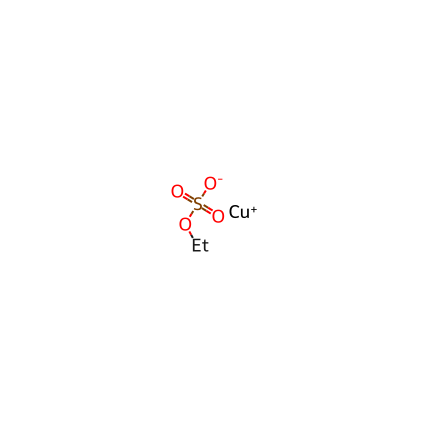 CCOS(=O)(=O)[O-].[Cu+]